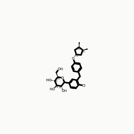 C[C@@H]1C[C@@H](Oc2ccc(Cc3cc(C4O[C@H](CO)[C@@H](O)[C@H](O)[C@H]4O)ccc3Cl)cc2)C[C@@H]1C